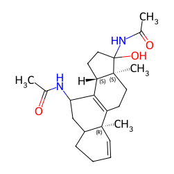 CC(=O)NC1CC2CCC=C[C@]2(C)C2=C1[C@@H]1CCC(O)(NC(C)=O)[C@@]1(C)CC2